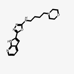 c1cnc2[nH]c(-c3nnc(NCCCCN4CCOCC4)o3)cc2c1